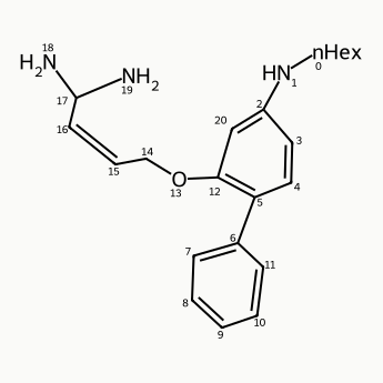 CCCCCCNc1ccc(-c2ccccc2)c(OC/C=C\C(N)N)c1